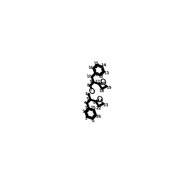 c1ccc(CC(COCC(Cc2ccccc2)C2CCO2)C2CCO2)cc1